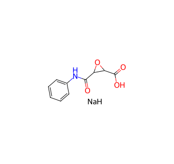 O=C(O)C1OC1C(=O)Nc1ccccc1.[NaH]